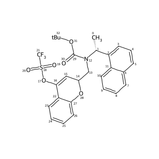 C[C@H](c1cccc2ccccc12)N(CC1C=C(OS(=O)(=O)C(F)(F)F)c2ccccc2O1)C(=O)OC(C)(C)C